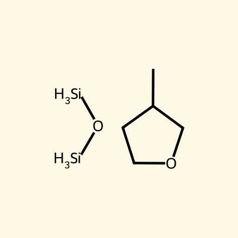 CC1CCOC1.[SiH3]O[SiH3]